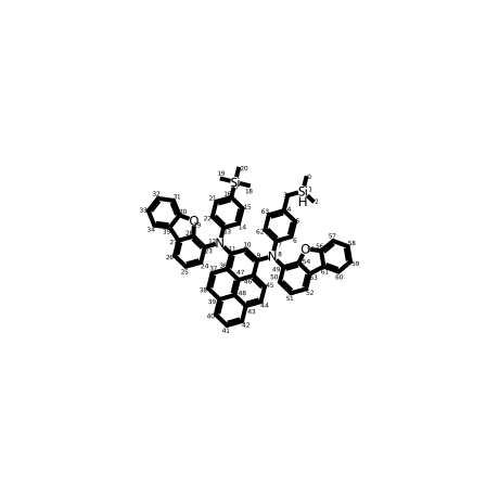 C[SiH](C)Cc1ccc(N(c2cc(N(c3ccc([Si](C)(C)C)cc3)c3cccc4c3oc3ccccc34)c3ccc4cccc5ccc2c3c54)c2cccc3c2oc2ccccc23)cc1